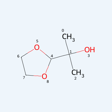 CC(C)(O)C1OCCO1